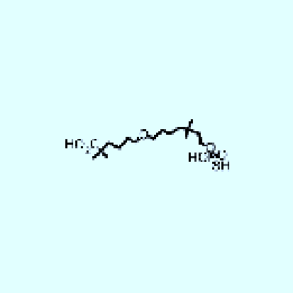 CC(C)(CCCCOCCCCC(C)(C)C(=O)O)CCOP(=O)(O)O